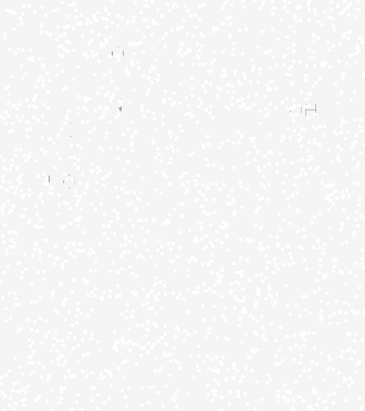 O=[N+]([O-])c1cc(O)ccc1C(O)c1ccccc1